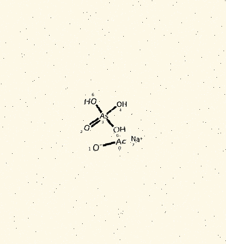 CC(=O)[O-].O=[As](O)(O)O.[Na+]